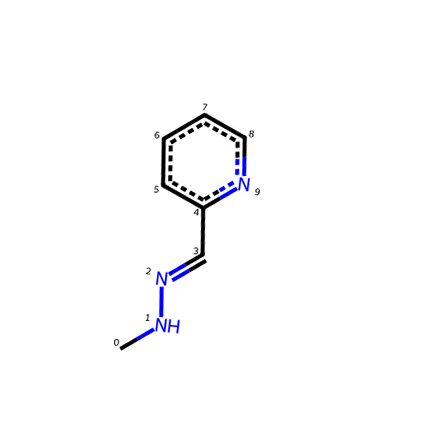 CNN=Cc1ccccn1